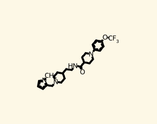 Cn1cccc1CN1CCC(CCNC(=O)C2CCN(c3ccc(OC(F)(F)F)cc3)CC2)CC1